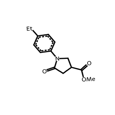 CCc1ccc(N2CC(C(=O)OC)CC2=O)cc1